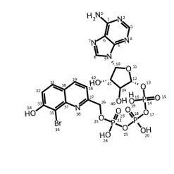 Nc1ncnc2c1ncn2[C@@H]1O[C@H](OP(=O)(O)OP(=O)(O)OP(=O)(O)OCc2ccc3ccc(O)c(Br)c3n2)C(O)[C@@H]1O